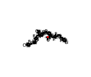 CC1(C)COCC1n1c(Cc2cc(F)c(-c3cccc(OCc4cnc(Cl)cc4F)n3)cc2F)nc2ccc(C(=O)OC(=O)c3ccc4nc(Cc5cc(F)c(-c6cccc(OCc7cnc(Cl)cc7F)n6)cc5F)n(C5COCC5(C)C)c4c3)cc21